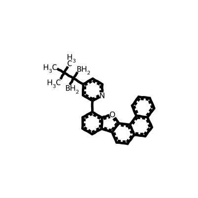 BC(B)(c1ccnc(-c2cccc3c2oc2c3ccc3ccc4ccccc4c32)c1)C(C)(C)C